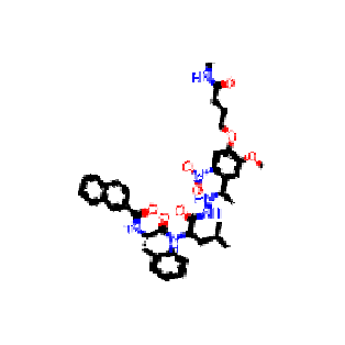 CNC(=O)CCCOc1cc([N+](=O)[O-])c(C(C)NNC(=O)C(CC(C)C)NC(=O)[C@H](Cc2ccccc2)NC(=O)c2ccc3ccccc3c2)cc1OC